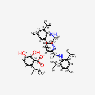 CC(C)c1ccc(O)c(O)c1C(=O)[O-].Cc1cc(C(C)C)c(NC(C)c2cccc(C(C)Nc3c(C(C)C)cc(C)cc3C(C)C)n2)c(C(C)C)c1.[Co+]